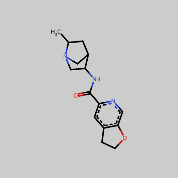 CC1CC2CN1CC2NC(=O)c1cc2c(cn1)OCC2